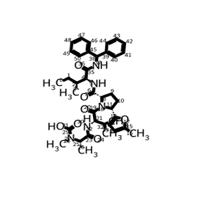 CC[C@H](C)[C@H](NC(=O)[C@@H]1CC[C@H](c2ccc(C)o2)N1C(=O)[C@@H](NC(=O)[C@H](C)N(C)C(=O)O)C(C)C)C(=O)NC(c1ccccc1)c1ccccc1